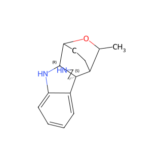 CC1OC2CCC1[C@]13CCN[C@]21Nc1ccccc13